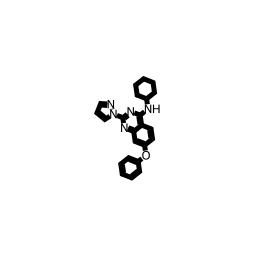 c1ccc(Oc2ccc3c(NC4CCCCC4)nc(-n4cccn4)nc3c2)cc1